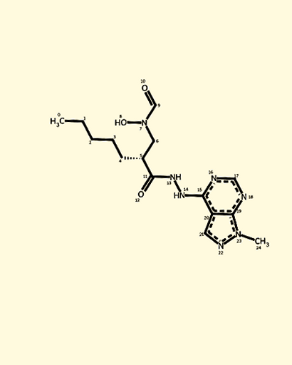 CCCCC[C@H](CN(O)C=O)C(=O)NNc1ncnc2c1cnn2C